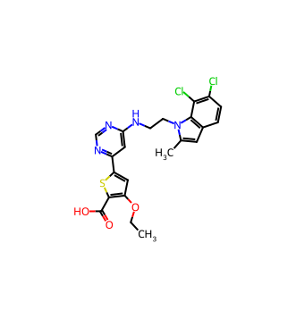 CCOc1cc(-c2cc(NCCn3c(C)cc4ccc(Cl)c(Cl)c43)ncn2)sc1C(=O)O